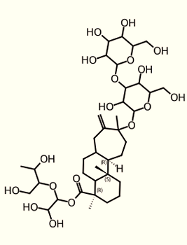 C=C1CC2CCC3[C@](C)(C(=O)OC(OC(CO)C(C)O)C(O)O)CCC[C@@]3(C)[C@@H]2CCC1(C)OC1OC(CO)C(O)C(OC2OC(CO)C(O)C(O)C2O)C1O